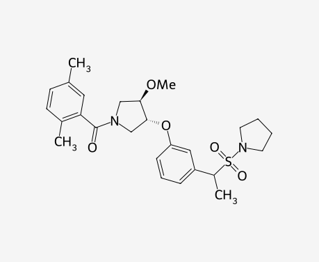 CO[C@@H]1CN(C(=O)c2cc(C)ccc2C)C[C@H]1Oc1cccc(C(C)S(=O)(=O)N2CCCC2)c1